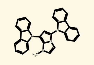 Cn1ccn2c(-n3c4ccccc4c4ccccc43)cc(-n3c4ccccc4c4ccccc43)c12